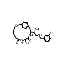 CCc1cccc(CNC[C@@H](O)C2Cc3ccc(cc3)OCCCCC(=O)NC(C(C)C)C(=O)N2)c1